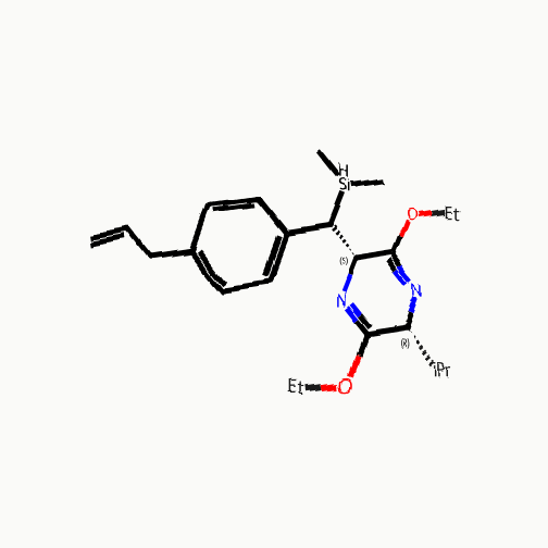 C=CCc1ccc(C([C@H]2N=C(OCC)[C@@H](C(C)C)N=C2OCC)[SiH](C)C)cc1